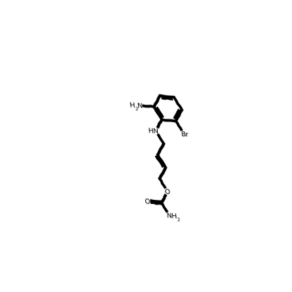 NC(=O)OC/C=C/CNc1c(N)cccc1Br